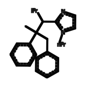 CCCn1ccnc1C(C(C)C)C(C)(Cc1ccccc1)c1ccccc1